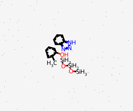 Cc1ccccc1O.[SiH3]O[SiH2]O[SiH3].c1ccc2[nH]nnc2c1